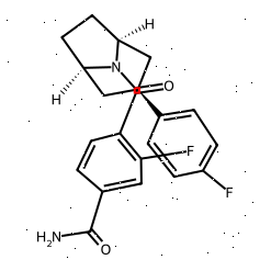 NC(=O)c1ccc(C(=O)N2[C@@H]3CC[C@H]2C[C@@H](c2ccc(F)cc2)C3)c(F)c1